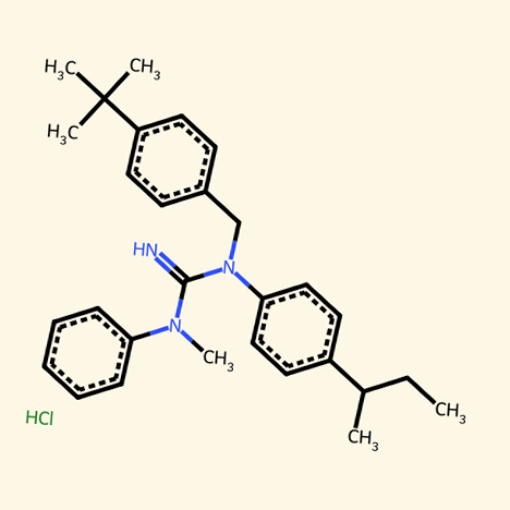 CCC(C)c1ccc(N(Cc2ccc(C(C)(C)C)cc2)C(=N)N(C)c2ccccc2)cc1.Cl